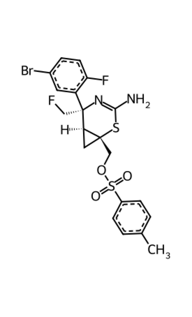 Cc1ccc(S(=O)(=O)OC[C@@]23C[C@H]2[C@@](CF)(c2cc(Br)ccc2F)N=C(N)S3)cc1